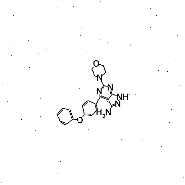 Nc1n[nH]c2nc(N3CCOCC3)nc(-c3ccc(Oc4ccccc4)cc3)c12